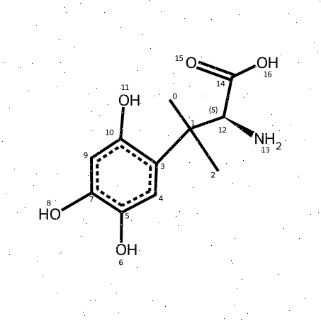 CC(C)(c1cc(O)c(O)cc1O)[C@H](N)C(=O)O